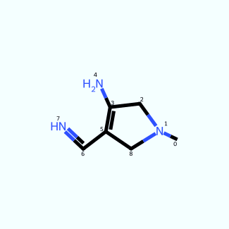 CN1CC(N)=C(C=N)C1